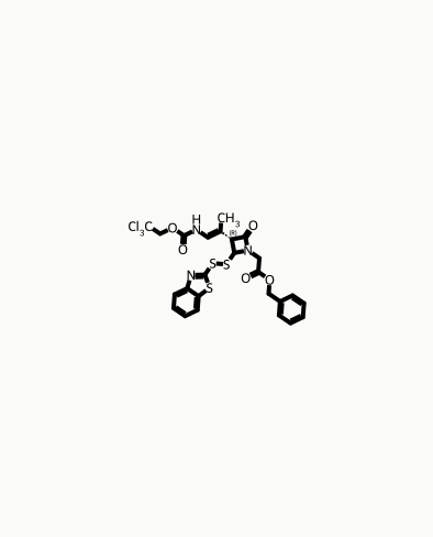 CC(=CNC(=O)OCC(Cl)(Cl)Cl)[C@@H]1C(=O)N(CC(=O)OCc2ccccc2)C1SSc1nc2ccccc2s1